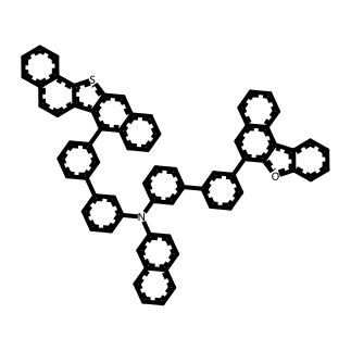 c1cc(-c2cccc(N(c3cccc(-c4cccc(-c5c6ccccc6cc6sc7c8ccccc8ccc7c56)c4)c3)c3ccc4ccccc4c3)c2)cc(-c2cc3ccccc3c3c2oc2ccccc23)c1